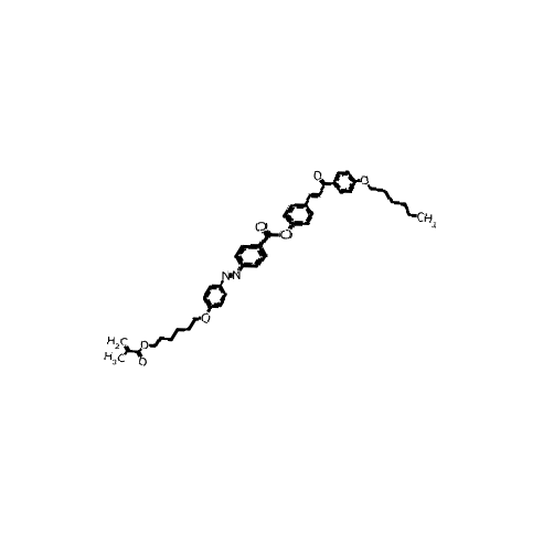 C=C(C)C(=O)OCCCCCCOc1ccc(/N=N/c2ccc(C(=O)Oc3ccc(/C=C/C(=O)c4ccc(OCCCCCC)cc4)cc3)cc2)cc1